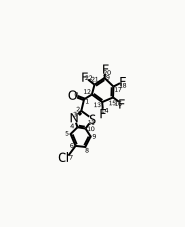 O=C(c1nc2cc(Cl)ccc2s1)c1c(F)c(F)c(F)c(F)c1F